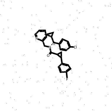 O=C(C1CC1c1ccc(F)cc1)N(Cc1ccccn1)[C@@H](c1ccc(Cl)cc1)C1CC1